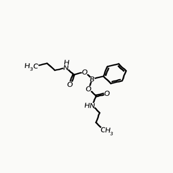 CCCNC(=O)OB(OC(=O)NCCC)c1ccccc1